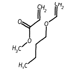 C=CC(=O)OC.C=COCCCC